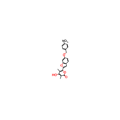 Cc1c(-c2cc3ccc(OCc4ccc([N+](=O)[O-])cc4)cc3o2)oc(=O)c(C)c1O